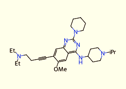 CCN(CC)CCC#Cc1cc2nc(N3CCCCC3)nc(NC3CCN(C(C)C)CC3)c2cc1OC